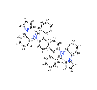 C1=CC2c3c(ccc4c5c(ccc34)N3c4ccccc4-n4cccc4C3c3ccccc3-5)N3c4ccccc4-n4cccc4C3C2C=C1